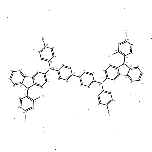 Fc1ccc(N(c2ccc(-c3ccc(N(c4ccc(F)cc4)c4ccc5c(c4)c4ccccc4n5-c4ccc(F)cc4F)cc3)cc2)c2ccc3c(c2)c2ccccc2n3-c2ccc(F)cc2F)cc1